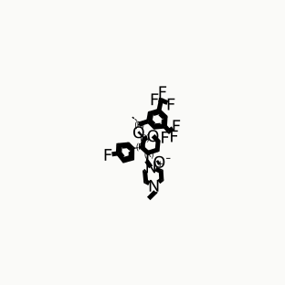 CCN1CC[N+]([O-])(C[C@@H]2CCO[C@H](O[C@H](C)c3cc(C(F)(F)F)cc(C(F)(F)F)c3)[C@H]2c2ccc(F)cc2)CC1